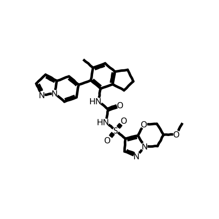 COC1COc2c(S(=O)(=O)NC(=O)Nc3c4c(cc(C)c3-c3ccn5nccc5c3)CCC4)cnn2C1